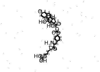 C[C@H]1C[C@H]2[C@@H]3CCC4=CC(=O)C=C[C@]4(C)[C@@]3(F)[C@@H](O)C[C@]2(C)[C@@]1(O)C(=O)COC(=O)Oc1ccc(C[C@H](N)C(=O)OCCCCON(O)O)cc1